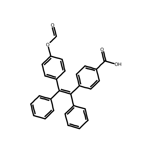 O=COc1ccc(C(=C(c2ccccc2)c2ccc(C(=O)O)cc2)c2ccccc2)cc1